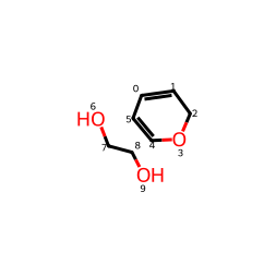 C1=CCOC=C1.OCCO